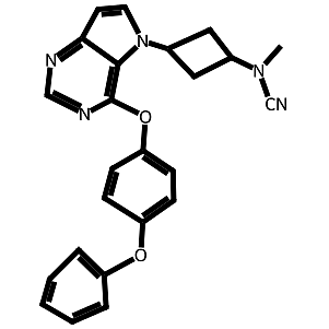 CN(C#N)C1CC(n2ccc3ncnc(Oc4ccc(Oc5ccccc5)cc4)c32)C1